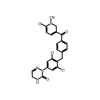 N#CN1CC(C(=O)c2ccc(Cc3c(Cl)cc(N4N=CCNC4=O)cc3Cl)cc2)=CC=C1Cl